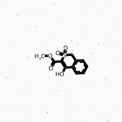 COC(=O)C1=C(O)c2ccccc2CS1(=O)=O